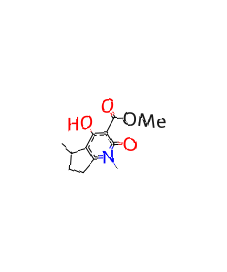 COC(=O)c1c(O)c2c(n(C)c1=O)CCC2C